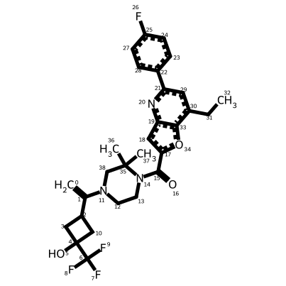 C=C(C1CC(O)(C(F)(F)F)C1)N1CCN(C(=O)c2cc3nc(-c4ccc(F)cc4)cc(CC)c3o2)C(C)(C)C1